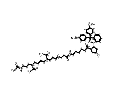 COc1ccc(C(OC[C@@H]2C[C@@H](O)CN2C(=O)CCCCCNC(=O)CCNCCCN(CCCCN(CCCNC(=O)C(F)(F)F)C(=O)C(F)(F)F)C(=O)C(F)(F)F)(c2ccccc2)c2ccc(OC)cc2)cc1